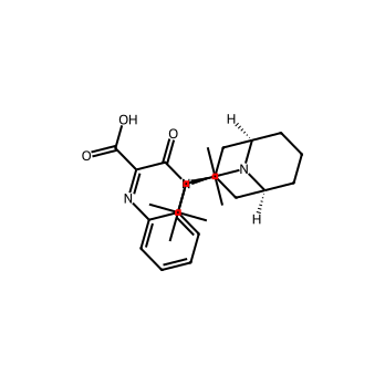 CC(C)(C)CC(C)(C)N1[C@@H]2CCC[C@H]1C[C@@H](n1c(=O)c(C(=O)O)nc3ccccc31)C2